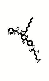 CCCCCCCn1nc(NC(=O)c2cccnc2)c2cc(Br)c(-c3ccc(OC(=O)NCCCN(C)C)cc3)nc21